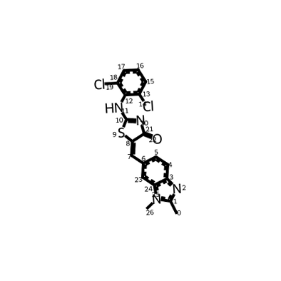 Cc1nc2ccc(C=C3SC(Nc4c(Cl)cccc4Cl)=NC3=O)cc2n1C